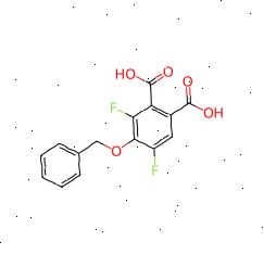 O=C(O)c1cc(F)c(OCc2ccccc2)c(F)c1C(=O)O